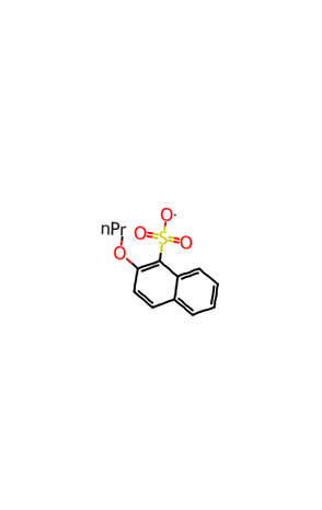 CCCOc1ccc2ccccc2c1S([O])(=O)=O